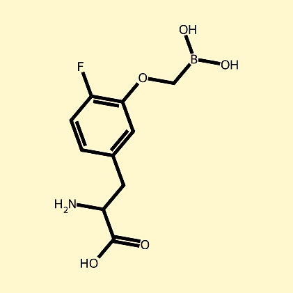 NC(Cc1ccc(F)c(OCB(O)O)c1)C(=O)O